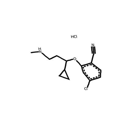 CNCCC(Oc1cc(Cl)ccc1C#N)C1CC1.Cl